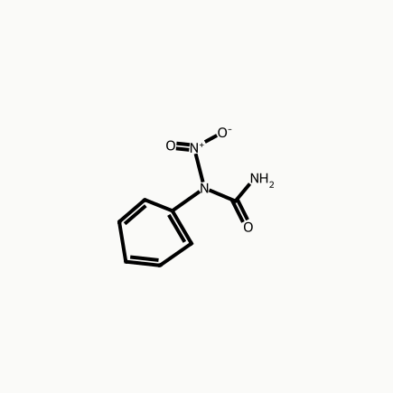 NC(=O)N(c1ccccc1)[N+](=O)[O-]